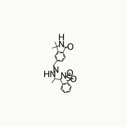 CC(N/N=C/c1ccc2c(c1)C(C)(C)NC2=O)C1=NS(=O)(=O)c2ccccc21